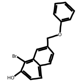 Oc1ccc2ccc(COc3ccccc3)cc2c1Br